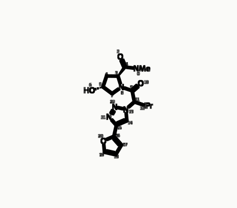 CNC(=O)[C@@H]1C[C@@H](O)CN1C(=O)C(C(C)C)n1cc(-c2ccco2)nn1